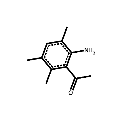 CC(=O)c1c(C)c(C)cc(C)c1N